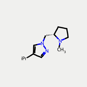 CC(C)c1cnn(C[C@@H]2CCCN2C)c1